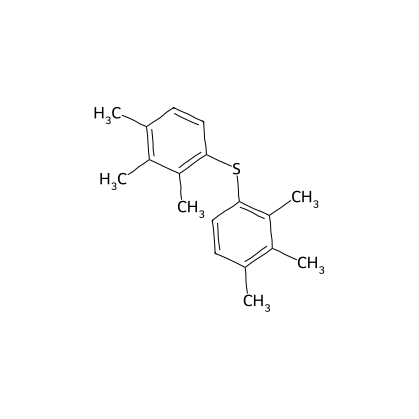 Cc1ccc(Sc2ccc(C)c(C)c2C)c(C)c1C